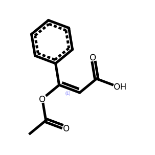 CC(=O)O/C(=C/C(=O)O)c1ccccc1